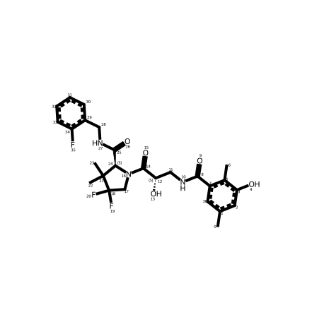 Cc1cc(O)c(C)c(C(=O)NC[C@H](O)C(=O)N2CC(F)(F)C(C)(C)[C@H]2C(=O)NCc2ccccc2F)c1